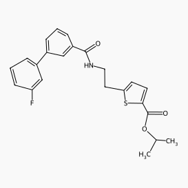 CC(C)OC(=O)c1ccc(CCNC(=O)c2cccc(-c3cccc(F)c3)c2)s1